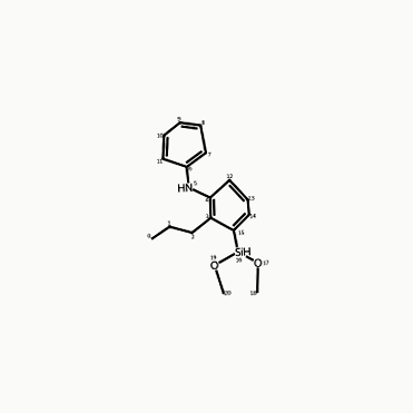 CCCc1c(Nc2ccccc2)cccc1[SiH](OC)OC